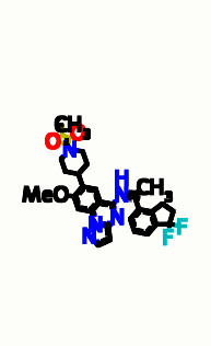 COc1cc2c(cc1C1CCN(S(C)(=O)=O)CC1)c(N[C@H](C)c1cccc3c1CCC3(F)F)nc1ccnn12